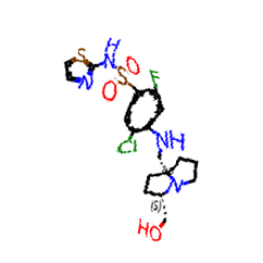 O=S(=O)(Nc1nccs1)c1cc(Cl)c(NC[C@]23CCCN2[C@H](CO)CC3)cc1F